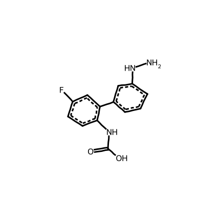 NNc1cccc(-c2cc(F)ccc2NC(=O)O)c1